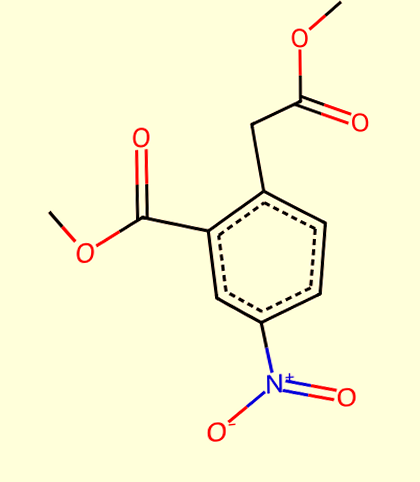 COC(=O)Cc1ccc([N+](=O)[O-])cc1C(=O)OC